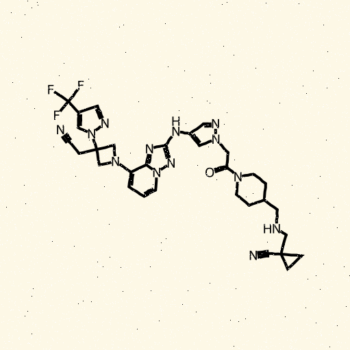 N#CCC1(n2cc(C(F)(F)F)cn2)CN(c2cccn3nc(Nc4cnn(CC(=O)N5CCC(CNCC6(C#N)CC6)CC5)c4)nc23)C1